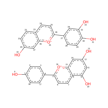 Oc1ccc(-c2ccc3c(O)cc(O)cc3[o+]2)cc1.Oc1ccc2ccc(-c3ccc(O)c(O)c3)[o+]c2c1